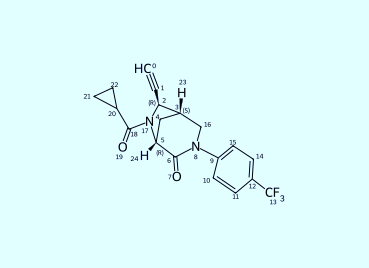 C#C[C@H]1[C@H]2C[C@H](C(=O)N(c3ccc(C(F)(F)F)cc3)C2)N1C(=O)C1CC1